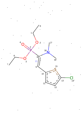 CCOP(=O)(OCC)/C(=C/c1ccc(Cl)s1)N(C)C